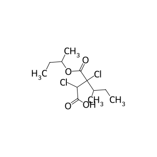 CCC(C)OC(=O)C(Cl)(C(C)CC)C(Cl)C(=O)O